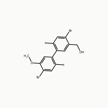 COc1cc(-c2cc(CO)c(Br)cc2I)c(I)cc1Br